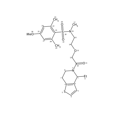 CCC1c2ccsc2CCN1C(=O)COCCN(C)S(=O)(=O)c1c(C)cc(OC)cc1C